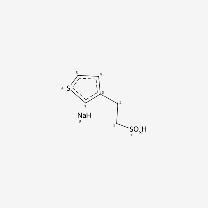 O=S(=O)(O)C[CH]c1ccsc1.[NaH]